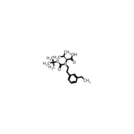 CCc1cccc(CCN(C(=O)OC(C)(C)C)[C@H](C(=O)O)C(C)C)c1